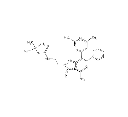 Cc1cc(-c2c(-c3ccccc3)nc(N)n3c(=O)n(CCNC(=O)OC(C)(C)C)nc23)cc(C)n1